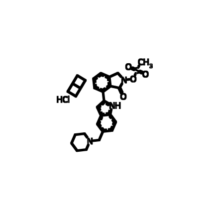 C1CC2CCC12.CS(=O)(=O)ON1Cc2cccc(-c3cc4cc(CN5CCCCC5)ccc4[nH]3)c2C1=O.Cl